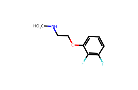 O=C(O)NCCOc1cccc(F)c1F